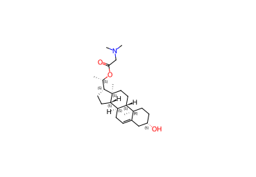 C[C@H](OC(=O)CN(C)C)[C@H]1CC[C@H]2[C@@H]3CC=C4C[C@@H](O)CC[C@]4(C)[C@H]3CC[C@]12C